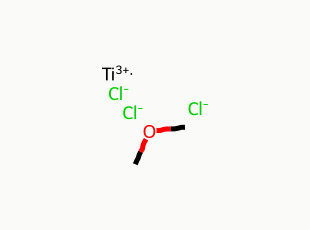 COC.[Cl-].[Cl-].[Cl-].[Ti+3]